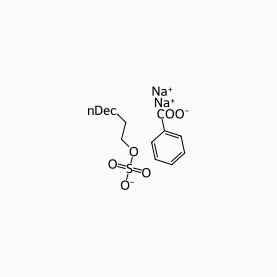 CCCCCCCCCCCCOS(=O)(=O)[O-].O=C([O-])c1ccccc1.[Na+].[Na+]